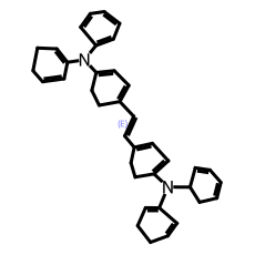 C1=CCC(N(C2=CCCC=C2)C2=CC=C(/C=C/C3=CC=C(N(C4=CCCC=C4)c4ccccc4)CC3)CC2)C=C1